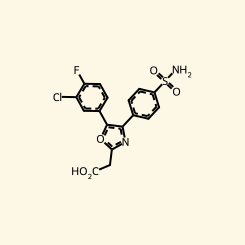 NS(=O)(=O)c1ccc(-c2nc(CC(=O)O)oc2-c2ccc(F)c(Cl)c2)cc1